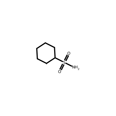 NS(=O)(=O)C1[CH]CCCC1